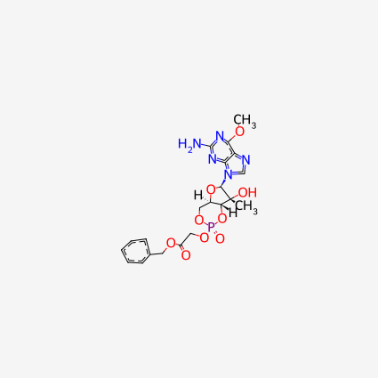 COc1nc(N)nc2c1ncn2[C@@H]1O[C@@H]2COP(=O)(OCC(=O)OCc3ccccc3)O[C@H]2[C@@]1(C)O